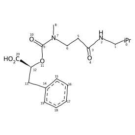 CC(C)CNC(=O)CCN(C)C(=O)O[C@@H](Cc1ccccc1)C(=O)O